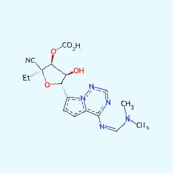 CC[C@@]1(C#N)O[C@@H](c2ccc3c(/N=C\N(C)C)ncnn23)[C@H](O)[C@@H]1OC(=O)O